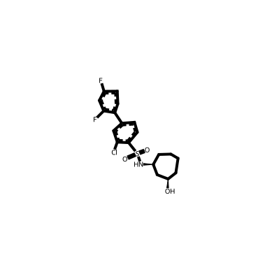 O=S(=O)(N[C@H]1CCCC[C@@H](O)C1)c1ccc(-c2ccc(F)cc2F)cc1Cl